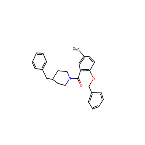 O=Cc1ccc(OCc2ccccc2)c(C(=O)N2CCC(Cc3ccccc3)CC2)c1